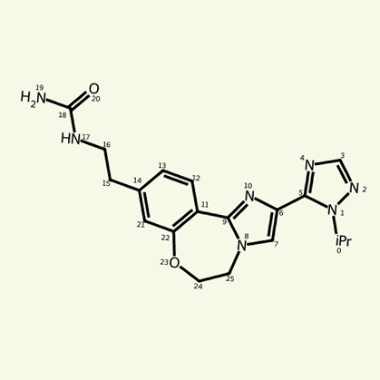 CC(C)n1ncnc1-c1cn2c(n1)-c1ccc(CCNC(N)=O)cc1OCC2